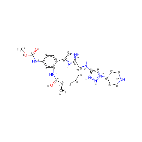 COC(=O)Nc1ccc2c(c1)NC(=O)[C@H](C)CCC[C@H](Nc1cn(C3CCNCC3)nn1)c1nc-2c[nH]1